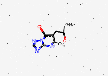 COC(=O)Cc1c(C)[nH]c2ncnn2c1=O